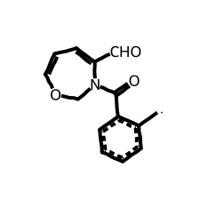 [CH2]c1ccccc1C(=O)N1COC=CC=C1C=O